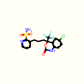 NS(=O)(=O)c1ncccc1CCCC1(C(F)(F)F)OC(=O)Nc2ccc(Cl)cc21